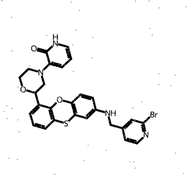 O=c1[nH]cccc1N1CCOC(c2cccc3c2Oc2ccc(NCc4ccnc(Br)c4)cc2S3)C1